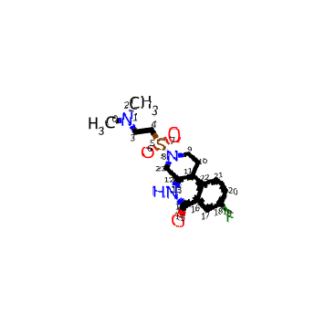 CN(C)CCS(=O)(=O)N1CCc2c([nH]c(=O)c3cc(F)ccc23)C1